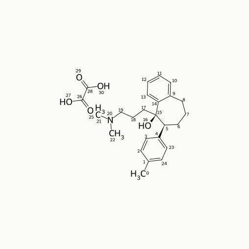 Cc1ccc([C@@H]2CCCc3ccccc3[C@@]2(O)CCCN(C)C)cc1.O=C(O)C(=O)O